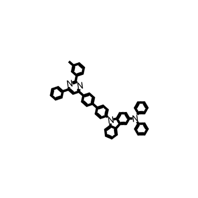 Cc1cccc(-c2nc(-c3ccccc3)cc(-c3ccc(-c4ccc(-n5c6ccccc6c6cc(N(c7ccccc7)c7ccccc7)ccc65)cc4)cc3)n2)c1